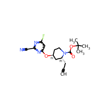 C#CC[C@@H]1C[C@@H](Oc2cc(F)nc(C#N)n2)CCN1C(=O)OC(C)(C)C